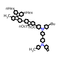 CCCCCCCCC1(CCCCCCCC)c2cc(-c3ccc(N(c4ccc(-c5ccc(N(c6ccc(C)cc6)c6ccc7c(c6)CC7)cc5)cc4)c4ccc(C(C)CC)cc4)cc3)ccc2-c2ccc(-c3ccc4c(c3)C(c3ccc(CCCCCC)cc3)(c3ccc(CCCCCC)cc3)c3cc(C)ccc3-4)cc21